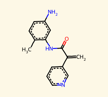 C=C(C(=O)Nc1cc(N)ccc1C)c1cccnc1